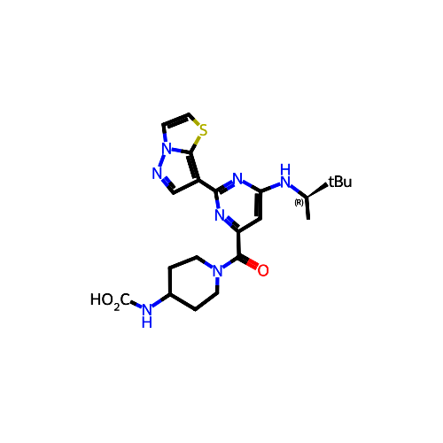 C[C@@H](Nc1cc(C(=O)N2CCC(NC(=O)O)CC2)nc(-c2cnn3ccsc23)n1)C(C)(C)C